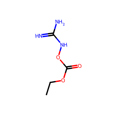 CCOC(=O)ONC(=N)N